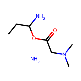 CCC(N)OC(=O)CN(C)C.N